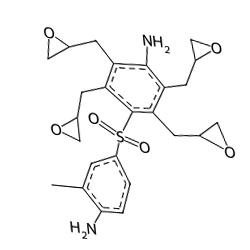 Cc1cc(S(=O)(=O)c2c(CC3CO3)c(CC3CO3)c(N)c(CC3CO3)c2CC2CO2)ccc1N